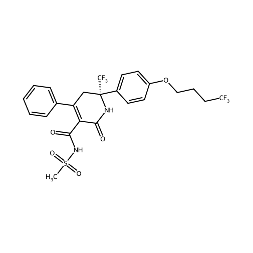 CS(=O)(=O)NC(=O)C1=C(c2ccccc2)C[C@](c2ccc(OCCCC(F)(F)F)cc2)(C(F)(F)F)NC1=O